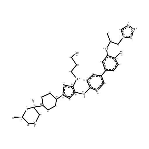 CC(Cn1cnnn1)Oc1cc(-c2cnc(Nc3cn(C4CCC([C@@]5(C)CNC[C@@H](C)O5)CC4)nc3OCCCO)nc2)ccc1Cl